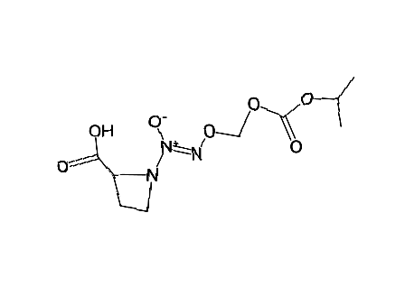 CC(C)OC(=O)OCON=[N+]([O-])N1CCC1C(=O)O